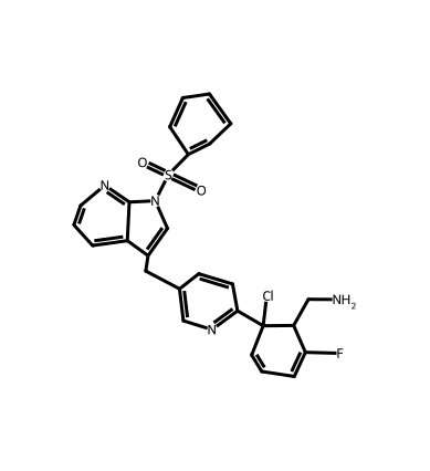 NCC1C(F)=CC=CC1(Cl)c1ccc(Cc2cn(S(=O)(=O)c3ccccc3)c3ncccc23)cn1